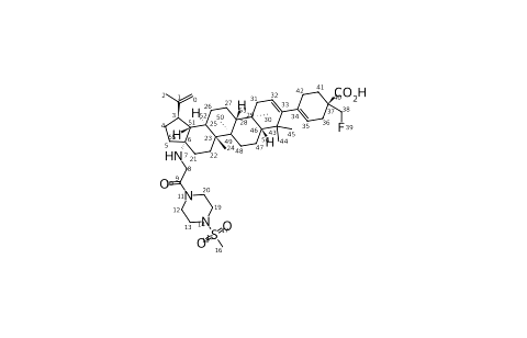 C=C(C)[C@@H]1CC[C@]2(NCC(=O)N3CCN(S(C)(=O)=O)CC3)CC[C@]3(C)[C@H](CC[C@@H]4[C@@]5(C)CC=C(C6=CC[C@](CF)(C(=O)O)CC6)C(C)(C)[C@@H]5CC[C@]43C)[C@@H]12